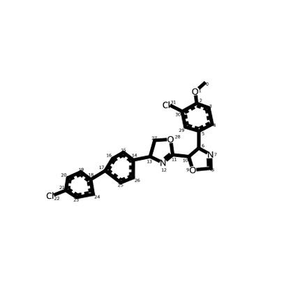 COc1ccc(C2N=[C]OC2C2=NC(c3ccc(-c4ccc(Cl)cc4)cc3)CO2)cc1Cl